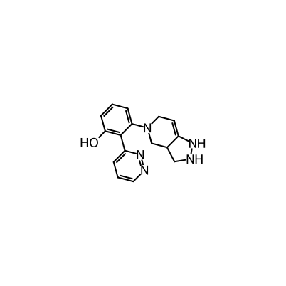 Oc1cccc(N2CC=C3NNCC3C2)c1-c1cccnn1